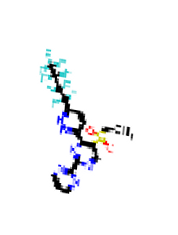 CCS(=O)(=O)c1cnc(-c2ncccn2)nc1-c1ccc(C(F)(F)C(F)(F)C(F)(F)C(F)(F)F)nn1